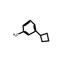 Cc1[c]ccc(C2CCC2)c1